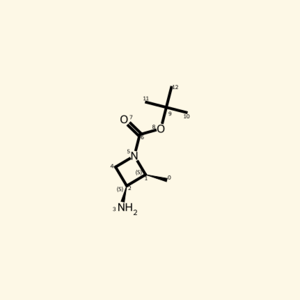 C[C@H]1[C@@H](N)CN1C(=O)OC(C)(C)C